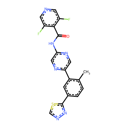 Cc1ccc(-c2nncs2)cc1-c1cnc(NC(=O)c2c(F)cncc2F)cn1